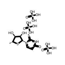 C[C@H]1S[C@@H](n2ccc(=O)[nH]c2=S)[C@H](O)[C@@H]1O.O=P(O)(O)O.O=P(O)(O)O.O=P(O)(O)O